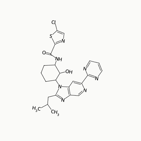 CC(C)Cc1nc2cnc(-c3ncccn3)cc2n1C1CCCC(NC(=O)c2ncc(Cl)s2)C1O